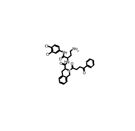 NCCC(NC(=O)C1Cc2ccccc2CN1C(=O)CCC(=O)c1ccccc1)C(=O)Nc1ccc(Cl)c(Cl)c1